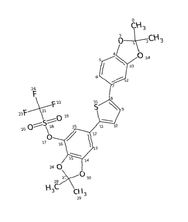 CC1(C)Oc2ccc(-c3ccc(-c4cc5c(c(OS(=O)(=O)C(F)(F)F)c4)OC(C)(C)O5)s3)cc2O1